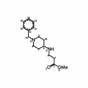 COC(=O)CCNC1CCN(Cc2ccccc2)CC1